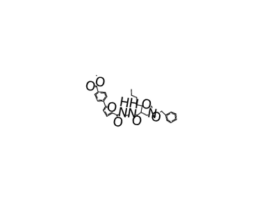 CCCCCC(CN(C=O)OCc1ccccc1)C(=O)NCNC(=O)c1ccc(-c2ccc(C(=O)OC)cc2)o1